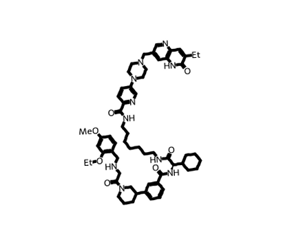 CCOc1cc(OC)ccc1CNCC(=O)N1CCCC(c2cccc(C(=O)N[C@@H](C(=O)NCCCCCCCNC(=O)c3ccc(N4CCN(Cc5cnc6cc(CC)c(=O)[nH]c6c5)CC4)cn3)C3CCCCC3)c2)C1